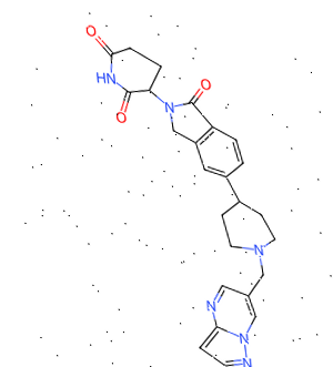 O=C1CCC(N2Cc3cc(C4CCN(Cc5cnc6ccnn6c5)CC4)ccc3C2=O)C(=O)N1